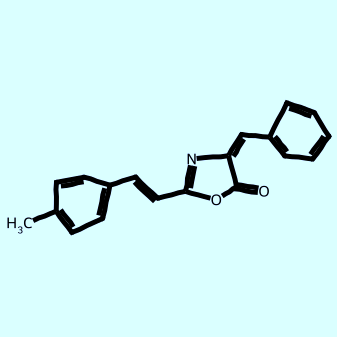 Cc1ccc(/C=C/C2=NC(=Cc3ccccc3)C(=O)O2)cc1